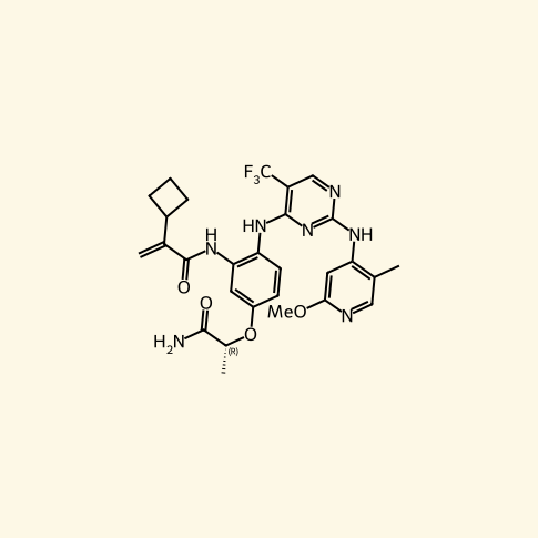 C=C(C(=O)Nc1cc(O[C@H](C)C(N)=O)ccc1Nc1nc(Nc2cc(OC)ncc2C)ncc1C(F)(F)F)C1CCC1